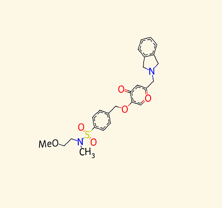 COCCN(C)S(=O)(=O)c1ccc(COc2coc(CN3Cc4ccccc4C3)cc2=O)cc1